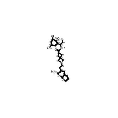 Cc1nc2ncccc2cc1CCN1CC2(CC(C(=O)NC(CC(=O)O)c3cc(Cl)cc(Cl)c3)C2)C1